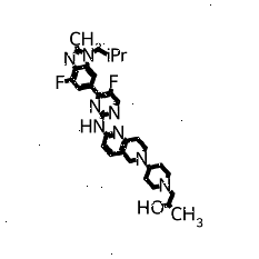 Cc1nc2c(F)cc(-c3nc(Nc4ccc5c(n4)CCN(C4CCN(CC(C)O)CC4)C5)ncc3F)cc2n1CC(C)C